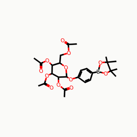 CC(=O)OCC1OC(Oc2ccc(B3OC(C)(C)C(C)(C)O3)cc2)C(OC(C)=O)C(OC(C)=O)C1OC(C)=O